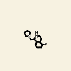 Fc1cccc2c1CCNC2CN1CCCC1